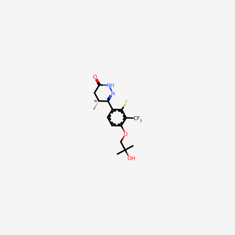 C[C@@H]1CC(=O)NN=C1c1ccc(OCC(C)(C)O)c(C(F)(F)F)c1F